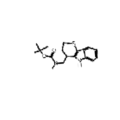 CN(CC1CCSc2c1[nH]c1ccccc21)C(=O)OC(C)(C)C